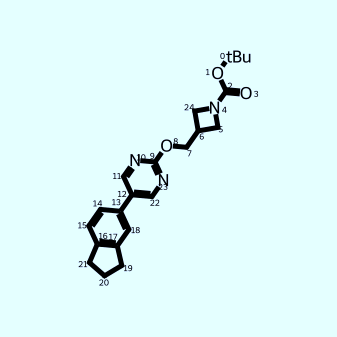 CC(C)(C)OC(=O)N1CC(COc2ncc(-c3ccc4c(c3)CCC4)cn2)C1